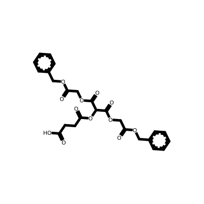 O=C(O)CCC(=O)OC(C(=O)OCC(=O)OCc1ccccc1)C(=O)OCC(=O)OCc1ccccc1